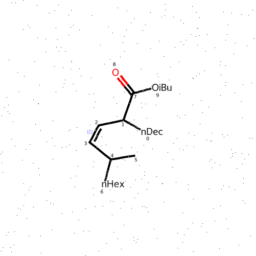 CCCCCCCCCCC(/C=C\C(C)CCCCCC)C(=O)OCC(C)C